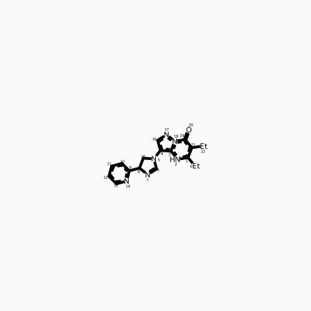 CCc1[nH]c2c(N3C=NC(c4ccccn4)C3)cnn2c(=O)c1CC